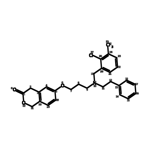 O=C1Cc2cc(OCCCN(CCc3ccccc3)Cc3cccc(C(F)(F)F)c3Cl)ccc2CO1